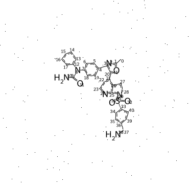 Cc1nc(-c2ccc(N(C(N)=O)c3ccccc3)cc2)c(-c2ccnc3c2ccn3S(=O)(=O)c2ccc(CN)cc2)o1